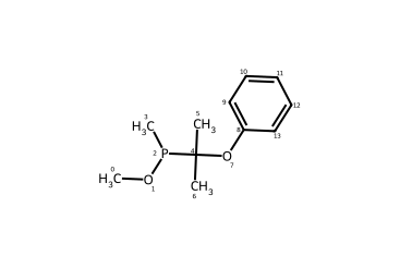 COP(C)C(C)(C)Oc1ccccc1